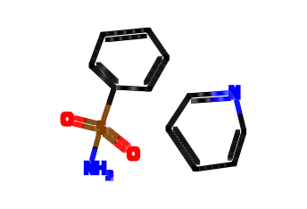 NS(=O)(=O)c1ccccc1.c1ccncc1